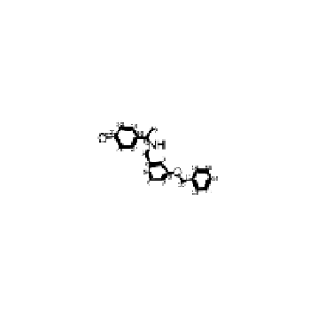 CC(NCc1cccc(OCc2ccccc2)c1)c1ccc(Cl)cc1